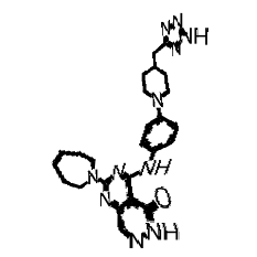 O=c1[nH]ncc2nc(N3CCCCCC3)nc(Nc3ccc(N4CCC(Cc5nn[nH]n5)CC4)cc3)c12